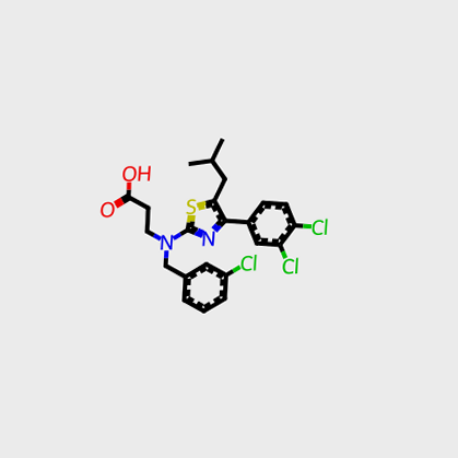 CC(C)Cc1sc(N(CCC(=O)O)Cc2cccc(Cl)c2)nc1-c1ccc(Cl)c(Cl)c1